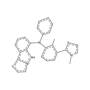 Cc1c(-c2scc[n+]2C)cccc1N(c1ccccc1)c1cccc2c1[pH][n+]1ccsc21